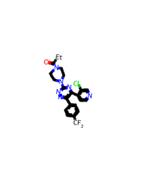 CCC(=O)N1CCN(c2nnc(-c3ccc(C(F)(F)F)cc3)c(-c3ccncc3Cl)n2)CC1